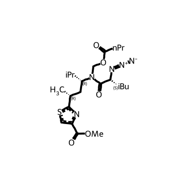 CCCC(=O)OCN(C(=O)C(N=[N+]=[N-])[C@@H](C)CC)[C@H](C[C@@H](C)c1nc(C(=O)OC)cs1)C(C)C